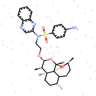 C[C@H]1[C@@H](OCCN(c2cnc3ccccc3n2)S(=O)(=O)c2ccc(N)cc2)O[C@@H]2O[C@@]3(C)CCC4[C@H](C)CC[C@@H]1[C@]42OO3